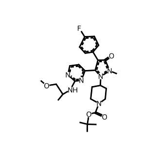 COCC(C)Nc1nccc(-c2c(-c3ccc(F)cc3)c(=O)n(C)n2C2CCN(C(=O)OC(C)(C)C)CC2)n1